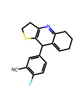 N#Cc1cc(C2C3=CCCCC3=NC3=C2SCC3)ccc1F